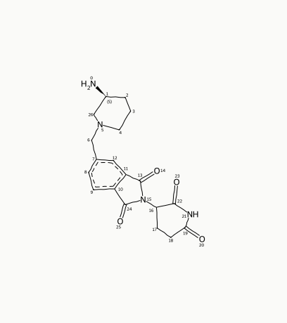 N[C@H]1CCCN(Cc2ccc3c(c2)C(=O)N(C2CCC(=O)NC2=O)C3=O)C1